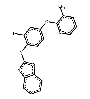 Fc1cc(Oc2ncccc2C(F)(F)F)ccc1Nc1nc2ccccc2s1